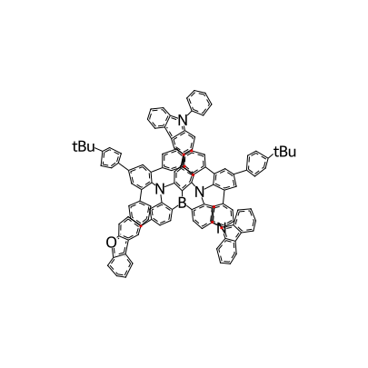 CC(C)(C)c1ccc(-c2cc(-c3ccccc3)c(N3c4cc(-c5ccc6oc7ccccc7c6c5)ccc4B4c5ccc(-n6c7ccccc7c7ccccc76)cc5N(c5c(-c6ccccc6)cc(-c6ccc(C(C)(C)C)cc6)cc5-c5ccccc5)c5cc(-c6ccc7c(c6)c6ccccc6n7-c6ccccc6)cc3c54)c(-c3ccccc3)c2)cc1